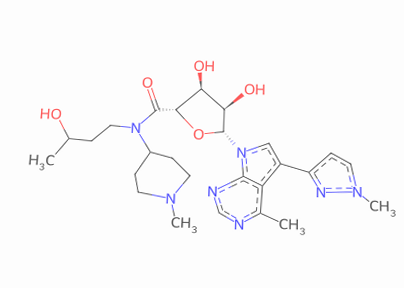 Cc1ncnc2c1c(-c1ccn(C)n1)cn2[C@@H]1O[C@H](C(=O)N(CCC(C)O)C2CCN(C)CC2)[C@@H](O)[C@H]1O